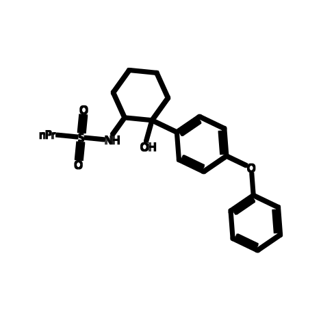 CCCS(=O)(=O)NC1CCCCC1(O)c1ccc(Oc2ccccc2)cc1